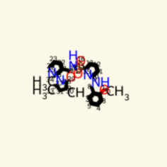 COc1ccccc1CNc1cccc(S(=O)(=O)NC(=O)c2cccnc2N2CC(C)CC2(C)C)n1